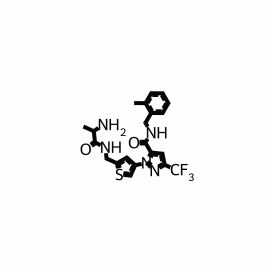 Cc1ccccc1CNC(=O)c1cc(C(F)(F)F)nn1-c1csc(CNC(=O)C(C)N)c1